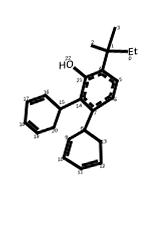 CCC(C)(C)c1c[c]c(C2C=CC=CC2)c(C2C=CC=CC2)c1O